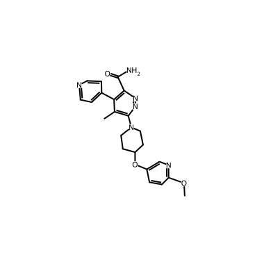 COc1ccc(OC2CCN(c3nnc(C(N)=O)c(-c4ccncc4)c3C)CC2)cn1